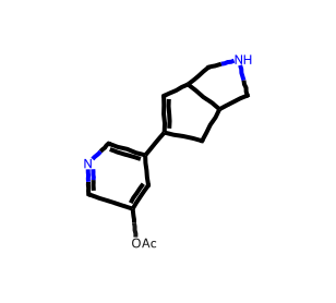 CC(=O)Oc1cncc(C2=CC3CNCC3C2)c1